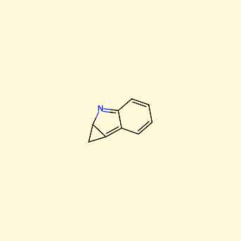 c1ccc2c(c1)=NC1CC=21